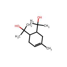 CC1=CCC(C(C)(C)O)C(C(C)(C)O)C1